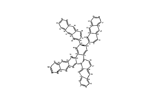 c1ccc2cc3nc(-c4cc(-c5ccc6cc7ccccc7cc6n5)c(-c5ccc6cc7ccccc7cc6n5)nc4-c4ccc5cc6ccccc6cc5n4)ccc3cc2c1